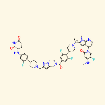 CNc1cc(=O)n(-c2ccnc3c2cc([C@H](C)N2CC=C(c4c(F)cc(C(=O)N5CCn6nc(CN7CCC(c8ccc(NC9CCC(=O)NC9=O)cc8F)CC7)cc6C5)cc4F)CC2)n3C)cc1F